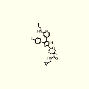 C=CCNc1nccc(-c2[nH]c(C3OCC(C)(C(=O)NCC4CC4)CO3)nc2-c2ccc(F)cc2)n1